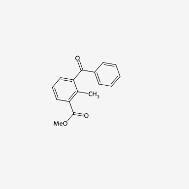 COC(=O)c1cccc(C(=O)c2ccccc2)c1C